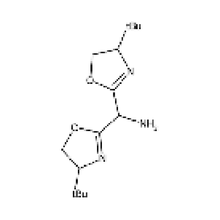 CC(C)(C)C1COC(C(N)C2=NC(C(C)(C)C)CO2)=N1